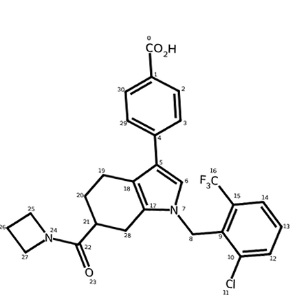 O=C(O)c1ccc(-c2cn(Cc3c(Cl)cccc3C(F)(F)F)c3c2CCC(C(=O)N2CCC2)C3)cc1